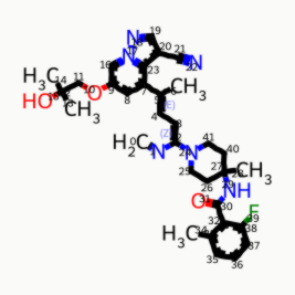 C=N/C(=C\C=C(/C)c1cc(OCC(C)(C)O)cn2ncc(C#N)c12)N1CCC(C)(NC(=O)c2c(C)cccc2F)CC1